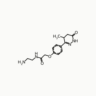 CC1CC(=O)NN=C1c1ccc(OCC(=O)NCCN)cc1